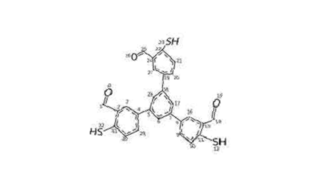 O=Cc1cc(-c2cc(-c3ccc(S)c(C=O)c3)cc(-c3ccc(S)c(C=O)c3)c2)ccc1S